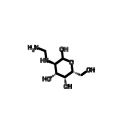 NCN[C@H]1C(O)O[C@H](CO)[C@H](O)[C@@H]1O